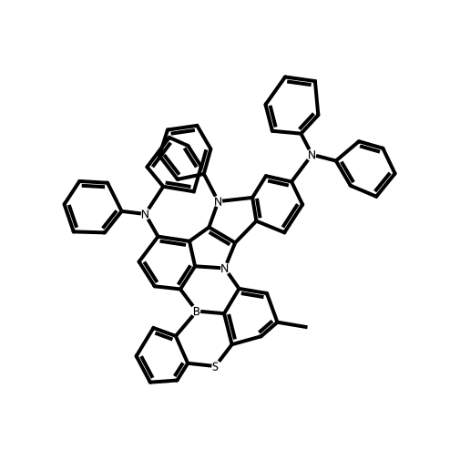 Cc1cc2c3c(c1)-n1c4c(ccc(N(c5ccccc5)c5ccccc5)c4c4c1c1ccc(N(c5ccccc5)c5ccccc5)cc1n4-c1ccccc1)B3c1ccccc1S2